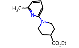 CCOC(=O)C1CCN(c2cccc(C)n2)CC1